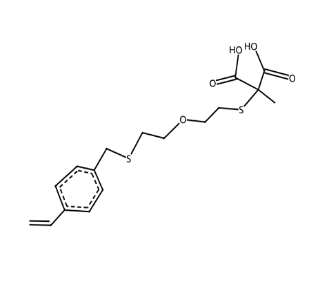 C=Cc1ccc(CSCCOCCSC(C)(C(=O)O)C(=O)O)cc1